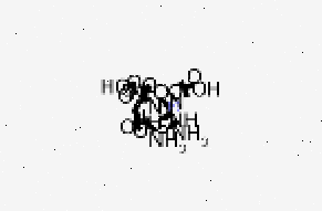 CC(C)(O/N=C(\C(=O)NC1C(=O)N(S(=O)(=O)O)C1CN1CC(CN)OC1=O)C1=CSC(N)N1)C(=O)O